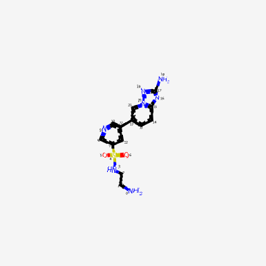 NCCNS(=O)(=O)c1cncc(-c2ccc3nc(N)nn3c2)c1